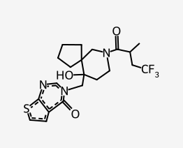 CC(CC(F)(F)F)C(=O)N1CCC(O)(Cn2cnc3sccc3c2=O)C2(CCCC2)C1